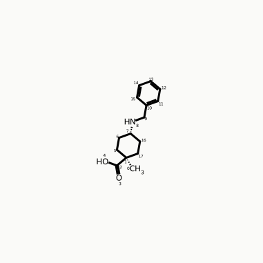 C[C@]1(C(=O)O)CC[C@H](NCc2ccccc2)CC1